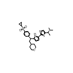 CC(c1cnc(-c2ccc(C(CC3CCOCC3)c3ccc(S(=O)(=O)C4CC4)cc3)[nH]2)s1)N(C)C